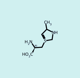 CC1C=S(C[C@H](N)C(=O)O)CN1